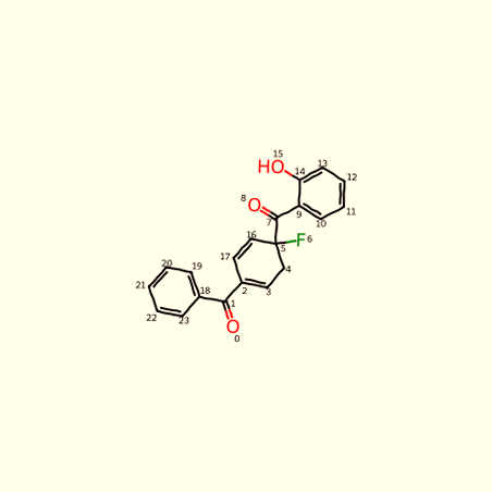 O=C(C1=CCC(F)(C(=O)c2ccccc2O)C=C1)c1ccccc1